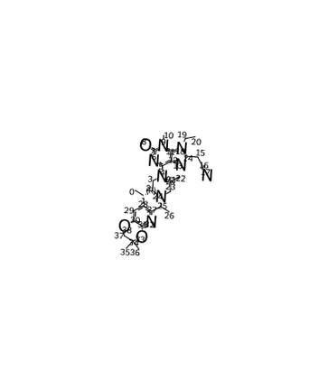 CC[C@@H]1CN(c2nc(=O)n(C)c3c2nc(CC#N)n3CC)[C@@H](C)CN1C(C)c1ccc2c(n1)OC(C)(C)CO2